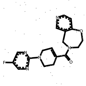 O=C(C1=CCN(c2ncc(F)cn2)CC1)N1CCOc2ccncc2C1